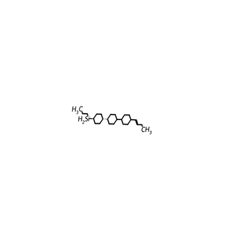 CC/C=C/C1CCC(C2CCC([C@H]3CC[C@H]([SiH2]CCC)CC3)CC2)CC1